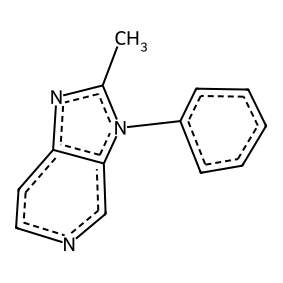 Cc1nc2ccncc2n1-c1ccccc1